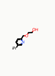 CC(C)c1ccc(COCCO)nc1